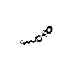 O=CCCCCN1CCN(c2nc3ccccc3o2)CC1